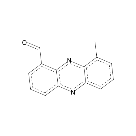 Cc1cccc2nc3cccc(C=O)c3nc12